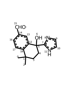 CC1(C)CCC(O)(c2ncc[nH]2)c2cc([C]=O)ccc21